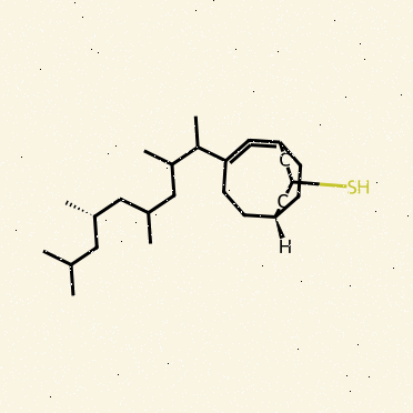 CC(C)C[C@H](C)CC(C)CC(C)C(C)C1=C=C2CC[C@H](CC1)CC(S)C2